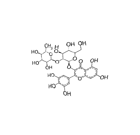 CC1O[C@@H](OC2[C@H](Oc3c(-c4cc(O)c(O)c(O)c4)oc4cc(O)cc(O)c4c3=O)OC(CO)[C@@H](O)[C@@H]2O)[C@@H](O)C(O)[C@H]1O